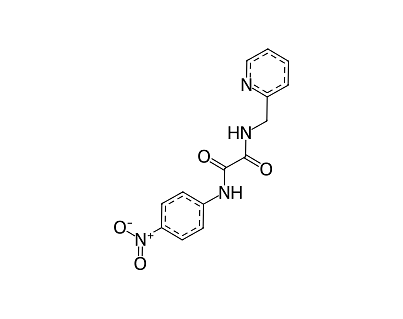 O=C(NCc1ccccn1)C(=O)Nc1ccc([N+](=O)[O-])cc1